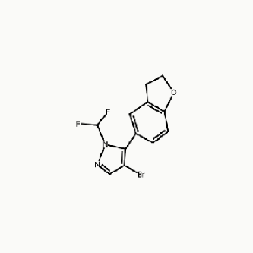 FC(F)n1ncc(Br)c1-c1ccc2c(c1)CCO2